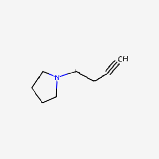 C#CC[CH]N1CCCC1